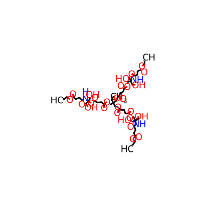 C#CCOC(=O)CCC(=O)NC(CO)(CO)COC(=O)CCC(=O)OCC(CC)(COC(=O)CCC(=O)OCC(CO)(CO)NC(=O)CCC(=O)OCC#C)COC(=O)CCC(=O)OC(CO)(CO)NC(=O)CCC(=O)OCC#C